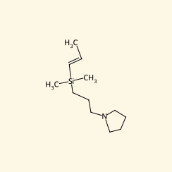 CC=C[Si](C)(C)CCCN1CCCC1